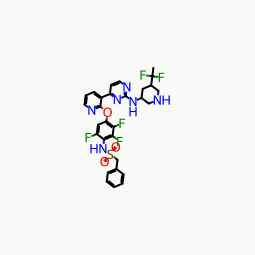 CC(F)(F)C1CNCC(Nc2nccc(-c3cccnc3Oc3cc(F)c(NS(=O)(=O)Cc4ccccc4)c(F)c3F)n2)C1